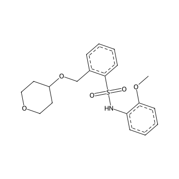 COc1ccccc1NS(=O)(=O)c1ccccc1COC1CCOCC1